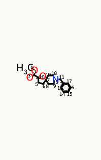 COC(=O)C1CCC2(CCN(Cc3ccccc3)CC2)O1